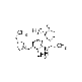 CCC(Nc1cccc(CN2CC[C@@H](CC)C2)c1C)c1ccc(Cl)c(C)c1